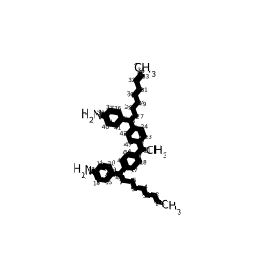 CCCCCCCCC(c1ccc(N)cc1)c1ccc(C(C)c2ccc(C(CCCCCCCC)c3ccc(N)cc3)cc2)cc1